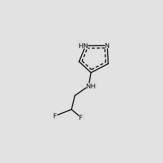 FC(F)CNc1cn[nH]c1